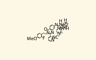 COc1ccc(CCn2c(-c3cccnc3)nc3cc(N=C(N[C@H]4C[C@@H]5C[C@@H]([C@H]4C)C5(C)C)N4CCN(CC#N)[C@@H](C)C4)ccc3c2=O)c(F)c1